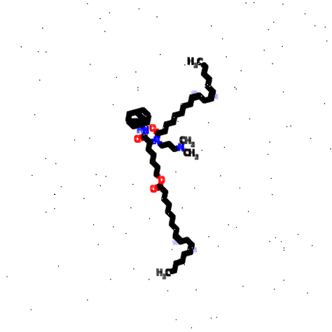 CCCCC/C=C\C/C=C\CCCCCCCC(=O)OCCCCCC(C(=O)NC12CC3CC(CC(C3)C1)C2)N(CCCN(C)C)C(=O)CCCCCCC/C=C\C/C=C\CCCCC